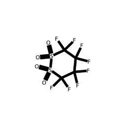 O=S1(=O)C(F)(F)C(F)(F)C(F)(F)C(F)(F)S1(=O)=O